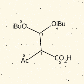 CC(=O)C(C(=O)O)C(OCC(C)C)OCC(C)C